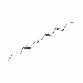 [CH2]/C=C/C=C/C=C/C=C/C=C/CC